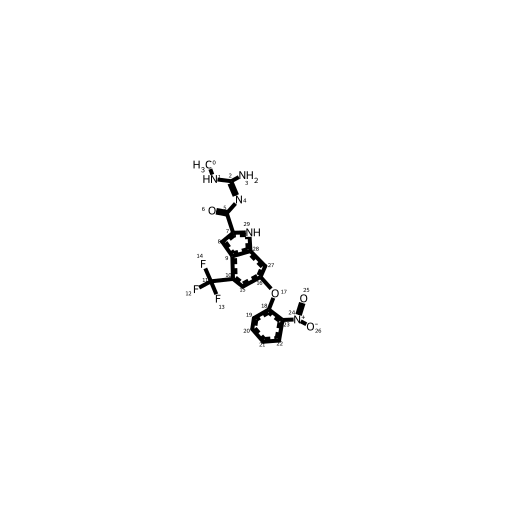 CNC(N)=NC(=O)c1cc2c(C(F)(F)F)cc(Oc3ccccc3[N+](=O)[O-])cc2[nH]1